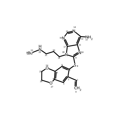 C=Cc1cc2c(cc1Sc1nc3c(N)ncnc3n1CCCNC(C)(C)C)OCCO2